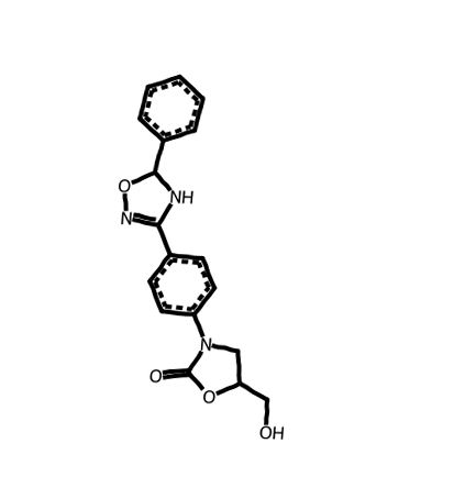 O=C1OC(CO)CN1c1ccc(C2=NOC(c3ccccc3)N2)cc1